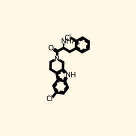 CC(=O)N[C@@H](Cc1ccccc1Cl)C(=O)N1CCc2c([nH]c3ccc(Cl)cc23)C1